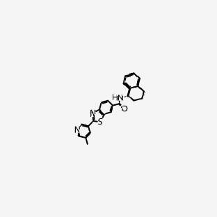 Cc1cncc(-c2nc3ccc(C(=O)N[C@H]4CCCc5ccccc54)cc3s2)c1